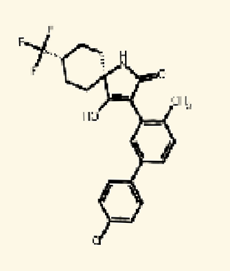 Cc1ccc(-c2ccc(Cl)cc2)cc1C1=C(O)[C@]2(CC[C@@H](C(F)(F)F)CC2)NC1=O